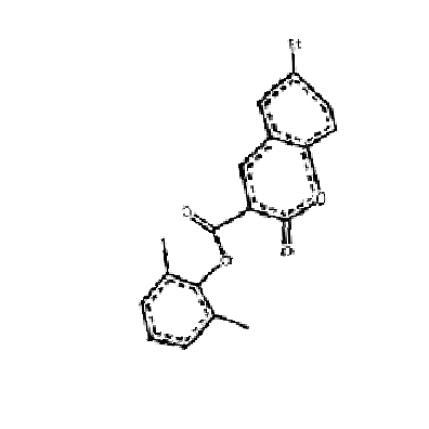 CCc1ccc2oc(=O)c(C(=O)Oc3c(C)cccc3C)cc2c1